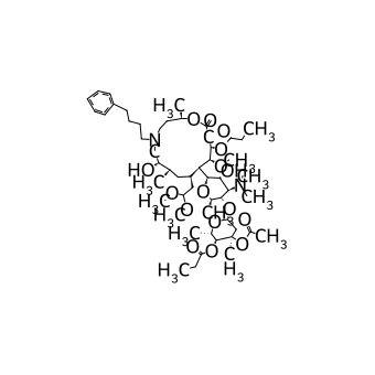 CCC(=O)O[C@@H]1CC(=O)O[C@H](C)CCN(CCCCc2ccccc2)C[C@H](O)[C@H](C)C[C@H](CC(OC)OC)[C@H]([C@@H]2O[C@H](C)[C@@H](O[C@@H]3C[C@@](C)(OC(C)=O)[C@@H](OC(=O)CC)[C@H](C)O3)[C@H](N(C)C)[C@H]2O)[C@@H]1OC